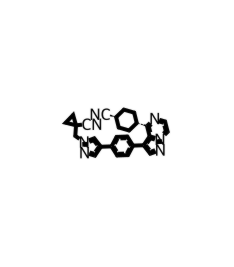 N#CC1(Cn2cc(-c3ccc(-c4cnn5ccnc([C@H]6CC[C@@H](C#N)CC6)c45)cc3)cn2)CC1